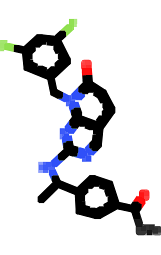 COC(=O)c1ccc(C(C)Nc2ncc3ccc(=O)n(Cc4cc(F)cc(F)c4)c3n2)cc1